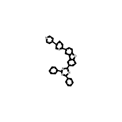 c1ccc(-c2nc(-c3ccccc3)nc(-c3ccc4oc5ccc(-c6ccc(-c7ccncc7)cn6)cc5c4c3)n2)cc1